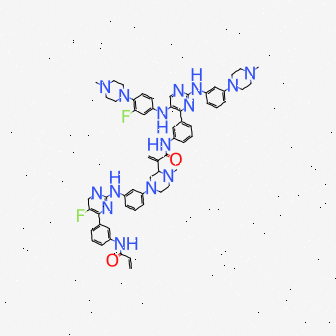 C=CC(=O)Nc1cccc(-c2nc(Nc3cccc(N4CCN(C)C(C(=C)C(=O)Nc5cccc(-c6nc(Nc7cccc(N8CCN(C)CC8)c7)ncc6Nc6ccc(N7CCN(C)CC7)c(F)c6)c5)C4)c3)ncc2F)c1